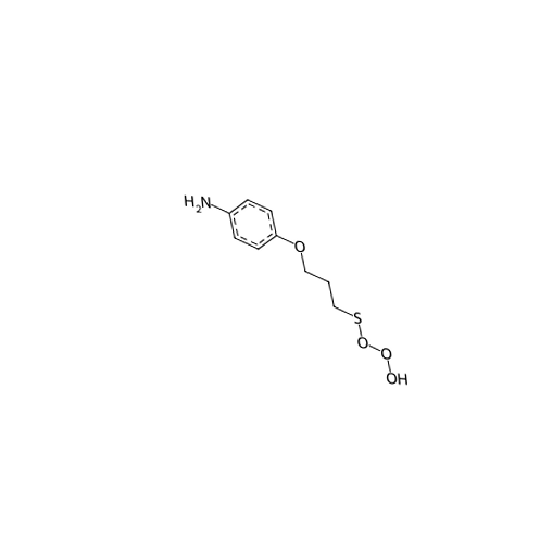 Nc1ccc(OCCCSOOO)cc1